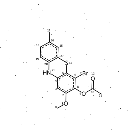 COc1cc2c(c(Br)c1OC(C)=O)Sc1cc(C)ccc1N2